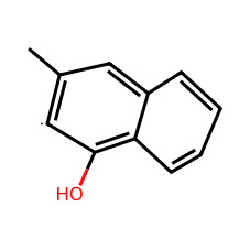 Cc1[c]c(O)c2ccccc2c1